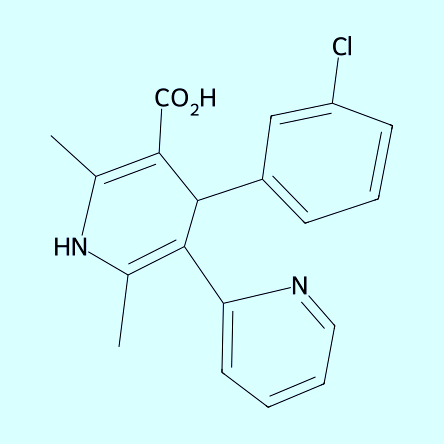 CC1=C(C(=O)O)C(c2cccc(Cl)c2)C(c2ccccn2)=C(C)N1